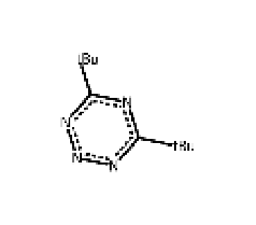 CC(C)(C)c1nnnc(C(C)(C)C)n1